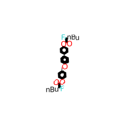 CCCC[C@@H](F)C(=O)O[C@H]1CC[C@H](COc2ccc([C@H]3CC[C@H](OC(=O)[C@H](F)CCCC)CC3)cc2)CC1